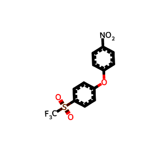 O=[N+]([O-])c1ccc(Oc2ccc(S(=O)(=O)C(F)(F)F)cc2)cc1